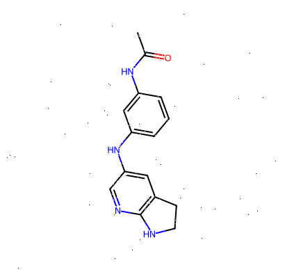 CC(=O)Nc1cccc(Nc2cnc3c(c2)CCN3)c1